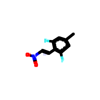 Cc1cc(F)c(/C=C/[N+](=O)[O-])c(F)c1